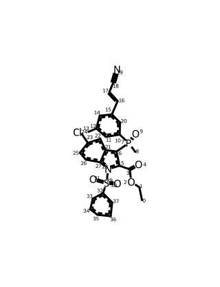 CCOC(=O)c1c(P(C)(=O)c2cc(C)cc(/C=C/C#N)c2)c2cc(Cl)ccc2n1S(=O)(=O)c1ccccc1